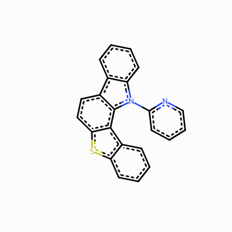 c1ccc(-n2c3ccccc3c3ccc4sc5ccccc5c4c32)nc1